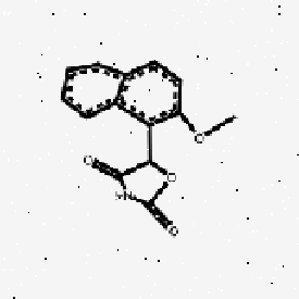 COc1ccc2ccccc2c1C1OC(=O)NC1=O